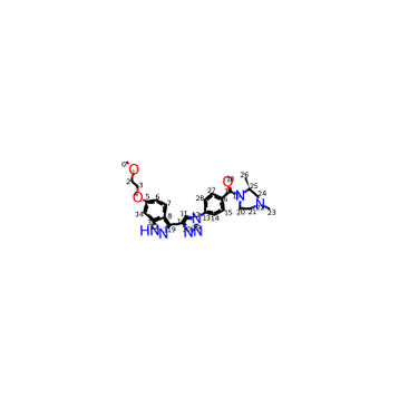 COCCOc1ccc2c(-c3cn(-c4ccc(C(=O)N5CCN(C)C[C@@H]5C)cc4)nn3)n[nH]c2c1